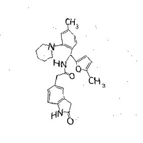 Cc1ccc(C(NC(=O)Cc2ccc3c(c2)CC(=O)N3)c2ccc(C)o2)c(N2CCCCC2)c1